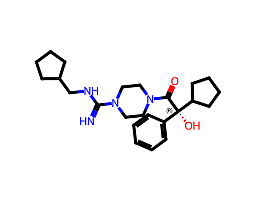 N=C(NCC1CCCC1)N1CCN(C(=O)[C@](O)(c2ccccc2)C2CCCC2)CC1